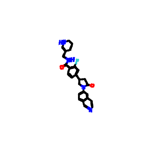 O=C(NC[C@@H]1CCCNC1)c1ccc(C2CC(=O)N(c3ccc4cnccc4c3)C2)cc1F